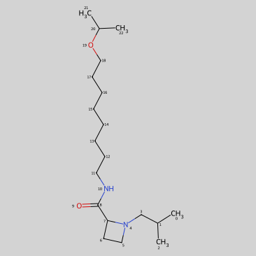 CC(C)CN1CCC1C(=O)NCCCCCCCCOC(C)C